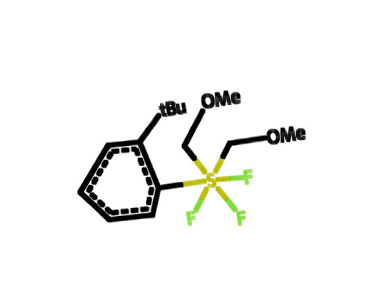 COCS(F)(F)(F)(COC)c1ccccc1C(C)(C)C